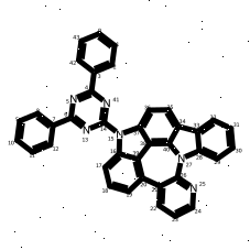 c1ccc(-c2nc(-c3ccccc3)nc(-n3c4cccc5c6cccnc6n6c7ccccc7c7ccc3c(c54)c76)n2)cc1